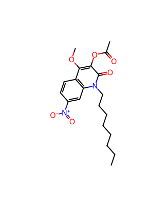 CCCCCCCCn1c(=O)c(OC(C)=O)c(OC)c2ccc([N+](=O)[O-])cc21